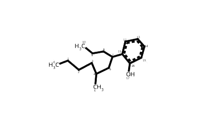 CCCCC(C)CC(CCC)c1ccccc1O